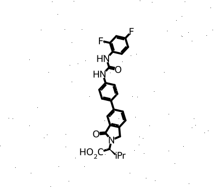 CC(C)[C@@H](C(=O)O)N1Cc2ccc(-c3ccc(NC(=O)Nc4ccc(F)cc4F)cc3)cc2C1=O